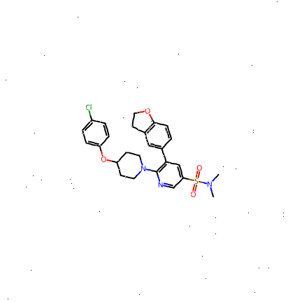 CN(C)S(=O)(=O)c1cnc(N2CCC(Oc3ccc(Cl)cc3)CC2)c(-c2ccc3c(c2)CCO3)c1